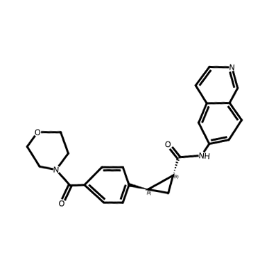 O=C(Nc1ccc2cnccc2c1)[C@@H]1C[C@H]1c1ccc(C(=O)N2CCOCC2)cc1